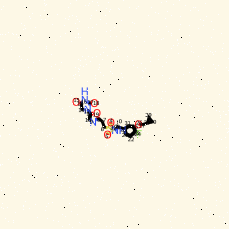 C[C@@H](NS(=O)(=O)CCc1ncc(N2CC(=O)NC2=O)o1)c1ccc(F)c(OCC2CC2)c1